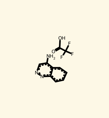 Nc1cnnc2ccccc12.O=C(O)C(F)(F)F